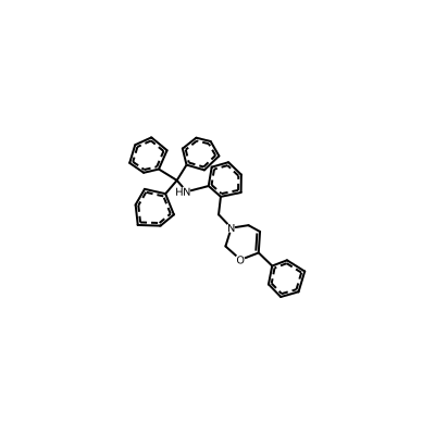 C1=C(c2ccccc2)OCN(Cc2ccccc2NC(c2ccccc2)(c2ccccc2)c2ccccc2)C1